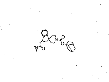 CN(C)C(=O)CC1CC2(CCN(C(=O)OC3C4CC5CC(C4)CC3C5)CC2)c2ccccc21